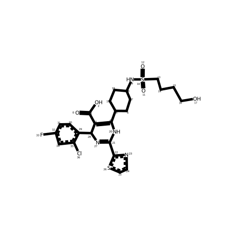 O=C(O)C1=C(C2CCC(NS(=O)(=O)CCCCO)CC2)NC(c2nccs2)=NC1c1ccc(F)cc1Cl